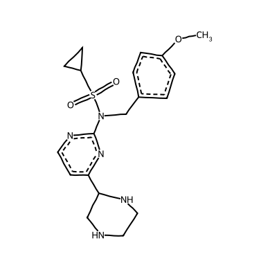 COc1ccc(CN(c2nccc(C3CNCCN3)n2)S(=O)(=O)C2CC2)cc1